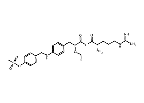 CCOC(Cc1ccc(NCc2ccc(OS(C)(=O)=O)cc2)cc1)C(=O)OC(=O)[C@@H](N)CCCNC(=N)N